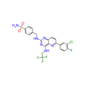 NS(=O)(=O)c1ccc(CNc2nc(NCC(F)(F)F)c3nc(-c4ccc(F)c(Cl)c4)ccc3n2)cc1